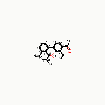 CCc1cc(-c2cccc(CC)c2C(=O)C(C)C)ccc1C(C)=O